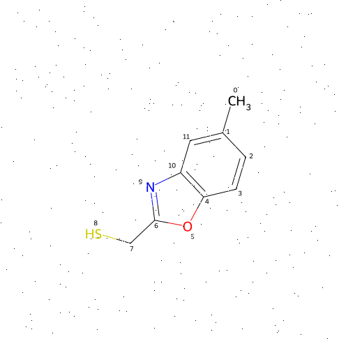 Cc1ccc2oc(CS)nc2c1